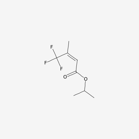 C/C(=C/C(=O)OC(C)C)C(F)(F)F